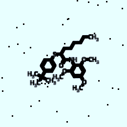 CCCCCCC(Sc1ccc(C(C)(C)C)cc1)C(=O)Nc1c(OC)cc(OC)cc1OC